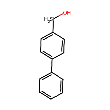 O[SiH2]c1ccc(-c2ccccc2)cc1